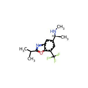 CN[C@@H](C)c1cc(C(F)(F)F)c2oc(C(C)C)nc2c1